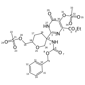 CCOC(=O)c1nc(C2(NC(=O)OCc3ccccc3)CCC(COS(C)(=O)=O)OC2)[nH]c(=O)c1OS(C)(=O)=O